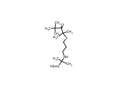 CC(C)(NCCCSC(C)(C)C(=O)C(C)(C)C)SS